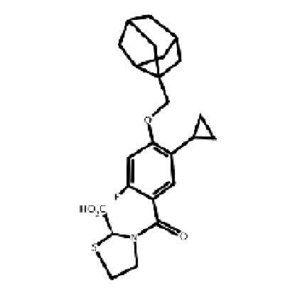 O=C(O)[C@@H]1SCCN1C(=O)c1cc(C2CC2)c(OCC23CC4CC(CC2C4)C3)cc1F